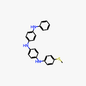 CSc1ccc(Nc2ccc(Nc3ccc(Nc4ccccc4)cc3)cc2)cc1